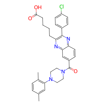 Cc1ccc(C)c(N2CCN(C(=O)c3ccc4nc(-c5ccc(Cl)cc5)c(CCCCC(=O)O)nc4c3)CC2)c1